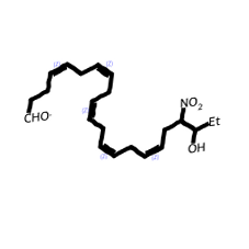 CCC(O)C(C/C=C\C/C=C\C/C=C\C/C=C\C/C=C\CC[C]=O)[N+](=O)[O-]